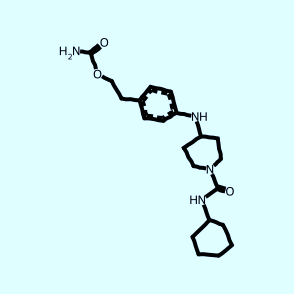 NC(=O)OCCc1ccc(NC2CCN(C(=O)NC3CCCCC3)CC2)cc1